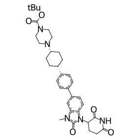 Cn1c(=O)n(C2CCC(=O)NC2=O)c2ccc(-c3ccc([C@H]4CC[C@@H](N5CCN(C(=O)OC(C)(C)C)CC5)CC4)cc3)cc21